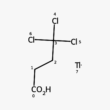 O=C(O)CCC(Cl)(Cl)Cl.[Tl]